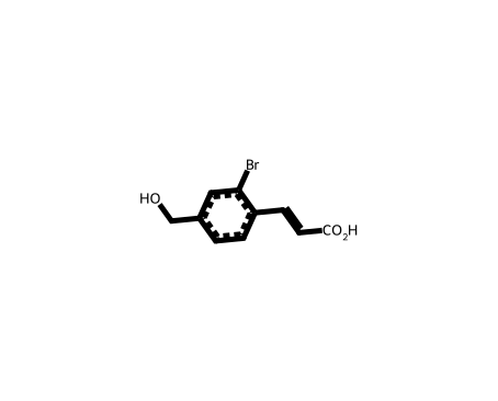 O=C(O)/C=C/c1ccc(CO)cc1Br